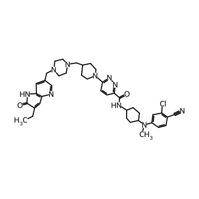 CCc1cc2ncc(CN3CCN(CC4CCN(c5ccc(C(=O)NC6CCC(N(C)c7ccc(C#N)c(Cl)c7)CC6)nn5)CC4)CC3)cc2[nH]c1=O